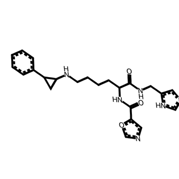 O=C(NC(CCCCNC1CC1c1ccccc1)C(=O)NCc1cnc[nH]1)c1cnco1